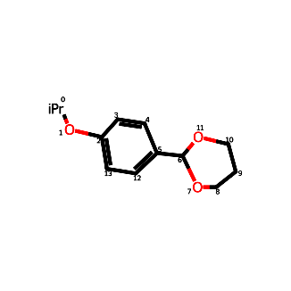 CC(C)Oc1ccc(C2OCCCO2)cc1